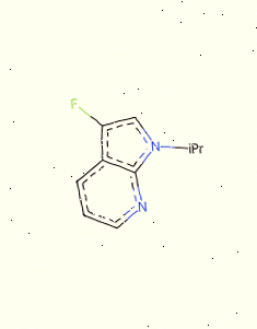 CC(C)n1cc(F)c2cccnc21